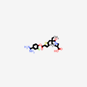 CCC(CC)(Cc1ccc(C(=O)Oc2ccc(C(N)N)cc2F)s1)C(=O)N1CC(C(=O)O)C1